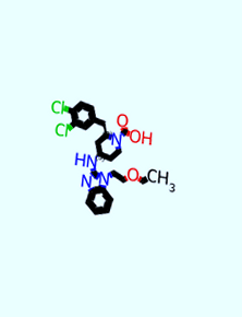 CCOCCn1c(N[C@H]2CCN(C(=O)O)[C@H](Cc3ccc(Cl)c(Cl)c3)C2)nc2ccccc21